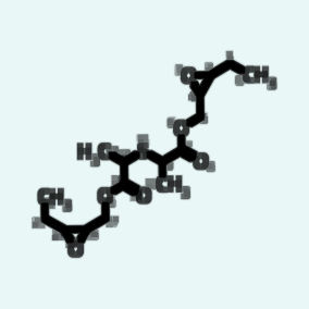 CCC1OC1COC(=O)C(C)SC(C)C(=O)OCC1OC1CC